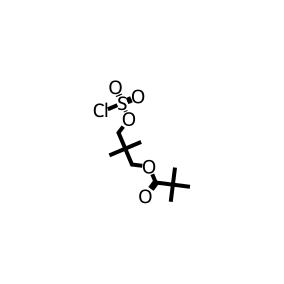 CC(C)(COC(=O)C(C)(C)C)COS(=O)(=O)Cl